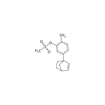 Cc1ccc(C23C=CC(CC2)C3)cc1OS(C)(=O)=O